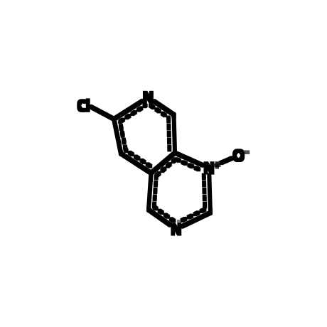 [O-][n+]1cncc2cc(Cl)ncc21